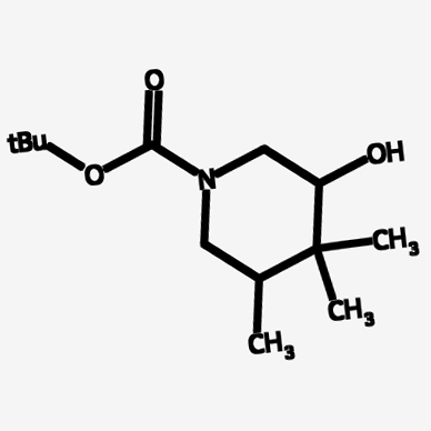 CC1CN(C(=O)OC(C)(C)C)CC(O)C1(C)C